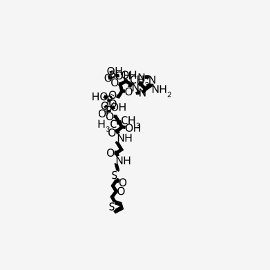 CC(C)(COP(=O)(O)OP(=O)(O)OCC1OC(C)(n2cnc3c(N)ncnc32)C(O)C1OP(=O)(O)O)C(O)C(=O)NCCC(=O)NCCSC(=O)CC(=O)Cc1cccs1